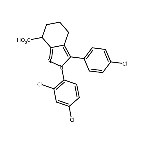 O=C(O)C1CCCc2c1nn(-c1ccc(Cl)cc1Cl)c2-c1ccc(Cl)cc1